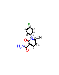 Cc1cc(C(N)=O)c(=O)n(-c2ccc(F)cc2)c1C#N